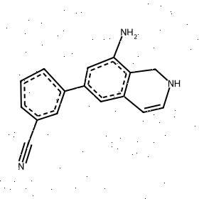 N#Cc1cccc(-c2cc(N)c3c(c2)C=CNC3)c1